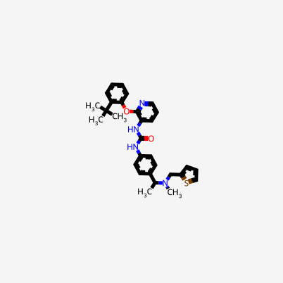 CC(c1ccc(NC(=O)Nc2cccnc2Oc2ccccc2C(C)(C)C)cc1)N(C)Cc1cccs1